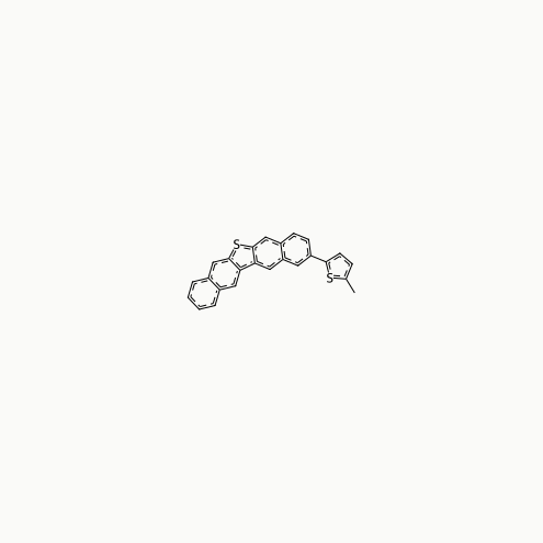 Cc1ccc(-c2ccc3cc4sc5cc6ccccc6cc5c4cc3c2)s1